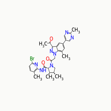 CC(=O)c1nn(CC(=O)N2C[C@@H](C)[C@@H](C)[C@H]2C(=O)Nc2nc(Br)ccc2C)c2c(C)cc(-c3cnc(C)nc3)cc12